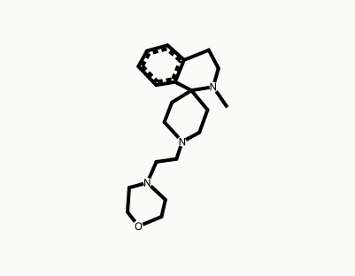 CN1CCc2ccccc2C12CCN(CCN1CCOCC1)CC2